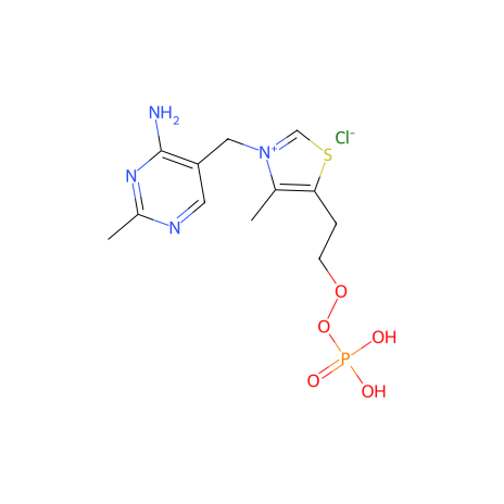 Cc1ncc(C[n+]2csc(CCOOP(=O)(O)O)c2C)c(N)n1.[Cl-]